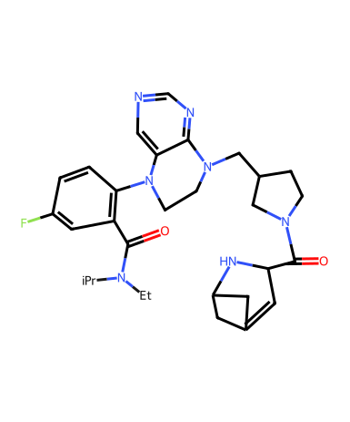 CCN(C(=O)c1cc(F)ccc1N1CCN(CC2CCN(C(=O)C3C=C4CC(C4)N3)C2)c2ncncc21)C(C)C